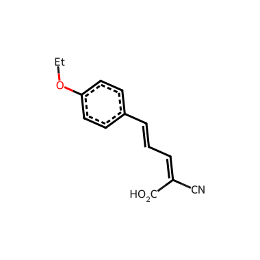 CCOc1ccc(C=CC=C(C#N)C(=O)O)cc1